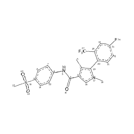 Cc1c(C(=O)Nc2ccc(S(C)(=O)=O)cc2)cn(C)c1-c1ccc(F)cc1C(F)(F)F